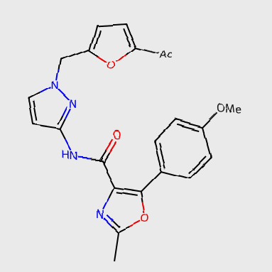 COc1ccc(-c2oc(C)nc2C(=O)Nc2ccn(Cc3ccc(C(C)=O)o3)n2)cc1